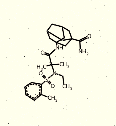 CCN(C(C)(C)C(=O)NC12CC3CC(C1)CC(C(N)=O)(C3)C2)S(=O)(=O)c1ccccc1C